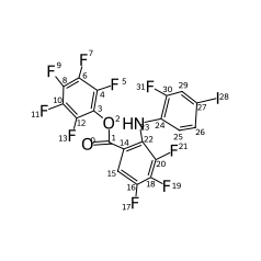 O=C(Oc1c(F)c(F)c(F)c(F)c1F)c1cc(F)c(F)c(F)c1Nc1ccc(I)cc1F